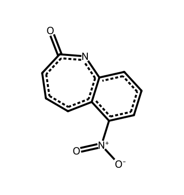 O=c1cccc2c([N+](=O)[O-])cccc2n1